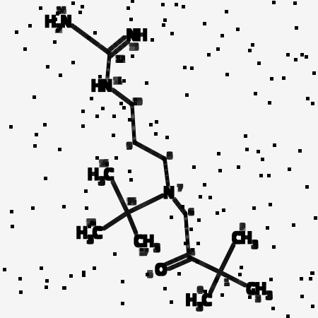 CC(C)(C)C(=O)CN(CCCNC(=N)N)C(C)(C)C